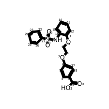 O=C(O)c1ccc(OCCOc2ccccc2NS(=O)(=O)c2ccccc2)cc1